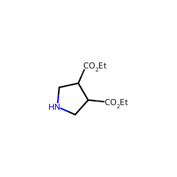 CCOC(=O)C1CNCC1C(=O)OCC